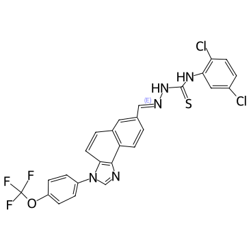 FC(F)(F)Oc1ccc(-n2cnc3c4ccc(/C=N/NC(=S)Nc5cc(Cl)ccc5Cl)cc4ccc32)cc1